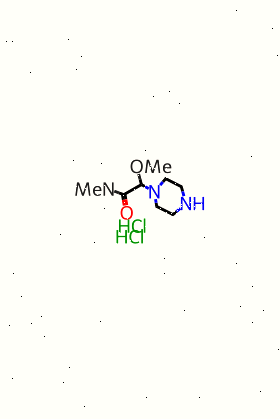 CNC(=O)C(OC)N1CCNCC1.Cl.Cl